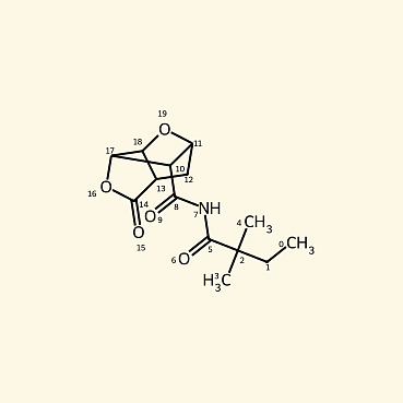 CCC(C)(C)C(=O)NC(=O)C1C2CC3C(=O)OC1C3O2